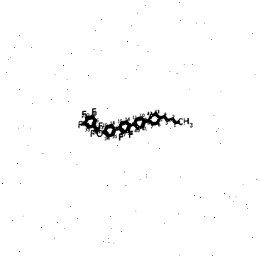 CCCCCC1CCC(c2ccc(-c3ccc(-c4ccc(OC(F)(F)c5cc(F)c(F)c(F)c5)cc4)c(F)c3F)cc2)CC1